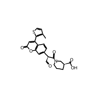 Cc1ccsc1-c1cc(=O)oc2cc([C@H](C=O)C(=O)N3CCC[C@H](C(=O)O)C3)ccc12